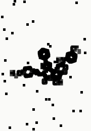 CN1CCN(CCC(C(N)=O)n2nc(-c3ccccc3)cc2-c2cccc(=O)n2CC(=O)Nc2cccc(C(F)(F)F)c2)CC1.Cl